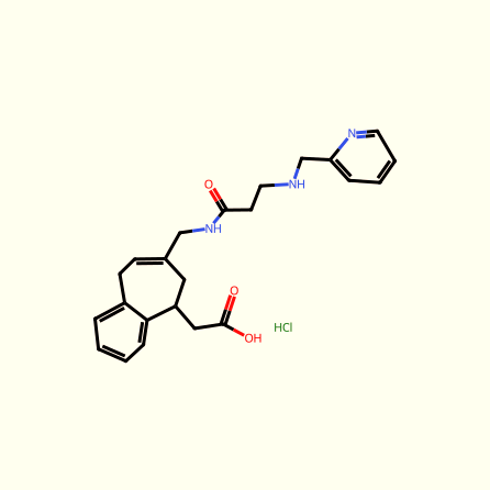 Cl.O=C(O)CC1CC(CNC(=O)CCNCc2ccccn2)=CCc2ccccc21